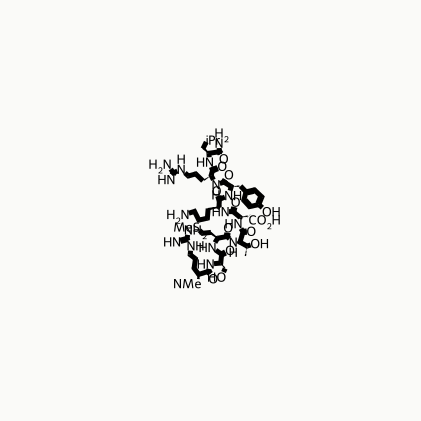 CN[C@@H](CCCNC(=N)N)C(=O)N[C@@H](CO)C(=O)N[C@@H](CCSC)C(=O)N[C@H](C(=O)N[C@@H](CC(=O)O)C(=O)N[C@@H](CCCCN)C(=O)N[C@@H](Cc1ccc(O)cc1)C(=O)N[C@H](CCCNC(=N)N)C(=O)N[C@@H](CC(C)C)C(N)=O)[C@@H](C)O